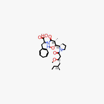 CC[C@H](C)C[C@@H](CC(=O)N1CCC[C@H]1[C@H](OC)[C@@H](C)C(=O)N[C@@H](CC1=CC=CCC=C1)C(=O)O)OC